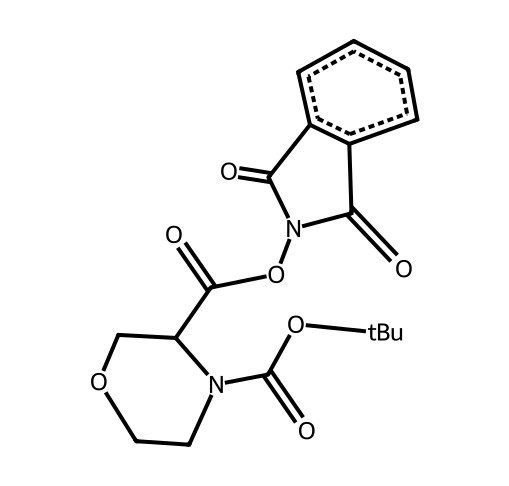 CC(C)(C)OC(=O)N1CCOCC1C(=O)ON1C(=O)c2ccccc2C1=O